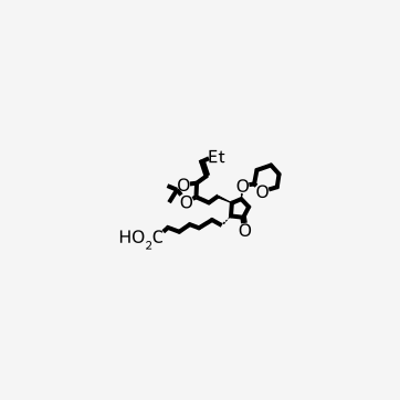 CCC=CC1OC(C)(C)OC1CC[C@H]1[C@H](OC2CCCCO2)CC(=O)[C@@H]1CCCCCCC(=O)O